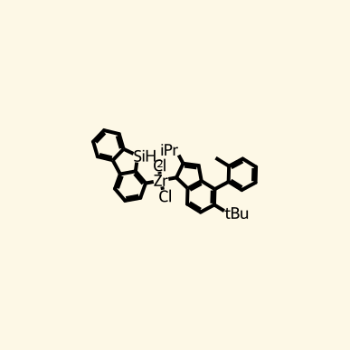 Cc1ccccc1-c1c(C(C)(C)C)ccc2c1C=C(C(C)C)[CH]2[Zr]([Cl])([Cl])[c]1cccc2c1[SiH2]c1ccccc1-2